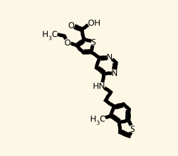 CCOc1cc(-c2cc(NCCc3ccc4sccc4c3C)ncn2)sc1C(=O)O